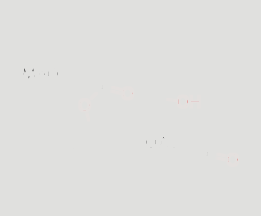 C=CCOC(=O)C(C)COC.CC(=O)OCC(C)O.CCCCCC(C)=O